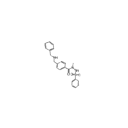 CN(NS(=O)(=O)c1ccccc1)C(=O)c1ccc(CNCc2ccccc2)cc1